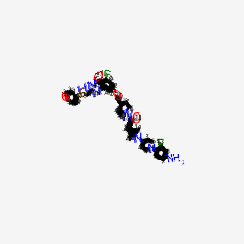 Nc1ccc(N2CCC(N3CC(CC(=O)N4CCC(COc5cc(F)c6c(=O)[nH]c(CSC7CCOCC7)nc6c5)CC4)C3)CC2)c(F)c1